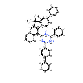 CC1(C)c2cc(-c3ccccc3)ccc2-c2c1cc1ccccc1c2C1N=C(c2ccc(-c3ccccc3)cc2)NC(c2ccccc2)N1